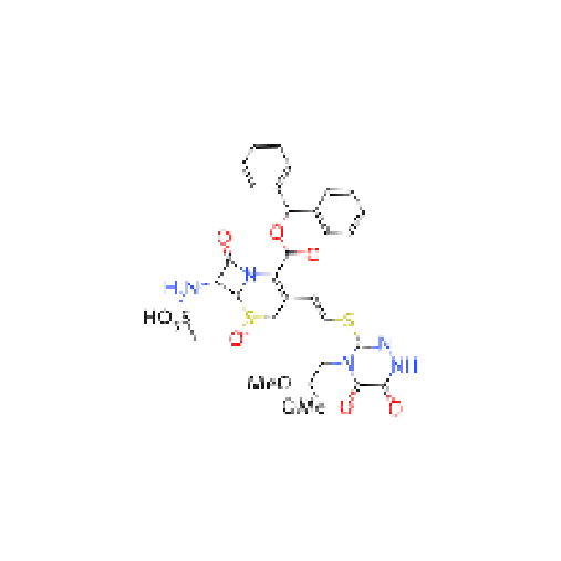 COC(Cn1c(S/C=C/C2=C(C(=O)OC(c3ccccc3)c3ccccc3)N3C(=O)C(N)C3[S+]([O-])C2)n[nH]c(=O)c1=O)OC.CS(=O)(=O)O